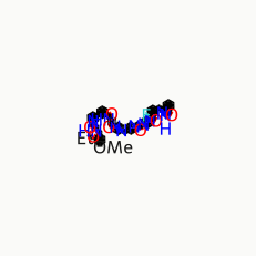 CCOc1cc(OC)ccc1CNCC(=O)N1CCCC(c2cccc(C(=O)N[C@H](C)C(=O)N3CCN(CC4CCN(CC(=O)N5CCN(C(=O)c6cc(Cc7n[nH]c(=O)c8ccccc78)ccc6F)CC5)CC4)CC3)c2)C1